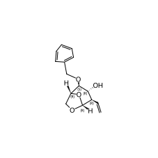 C=C[C@H]1[C@@H]2OC[C@@H](O2)[C@@H](OCc2ccccc2)[C@@H]1O